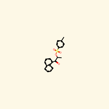 Cc1ccc(S(=O)(=O)OC(C)C(=O)c2cccc3ccccc23)cc1